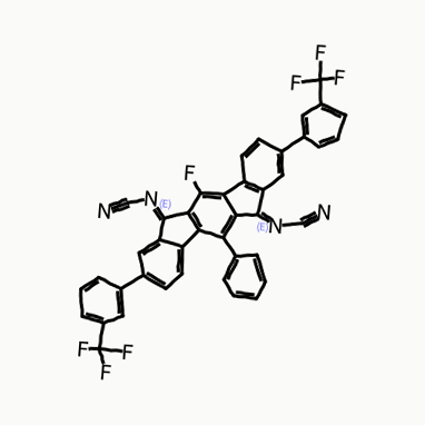 N#C/N=c1\c2cc(-c3cccc(C(F)(F)F)c3)ccc2c2c(F)c3/c(=N/C#N)c4cc(-c5cccc(C(F)(F)F)c5)ccc4c3c(-c3ccccc3)c12